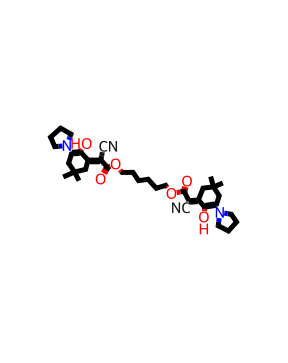 CC1(C)CC(N2CCCC2)=C(O)/C(=C(\C#N)C(=O)OCCCCCCOC(=O)/C(C#N)=C2\CC(C)(C)CC(N3CCCC3)=C2O)C1